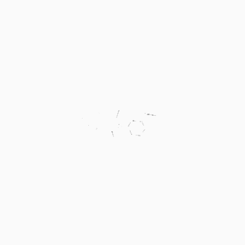 Cc1ccc(N2C(=O)C3C4CCC(C5CC54)C3C2=O)cc1[N+](=O)[O-]